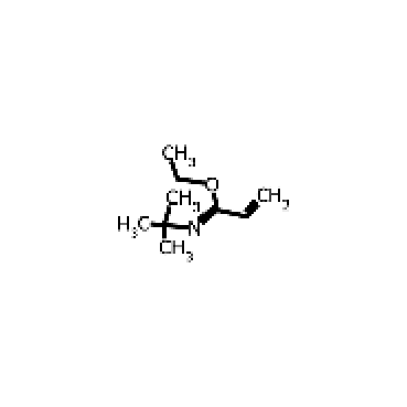 C=CC(=NC(C)(C)C)OCC